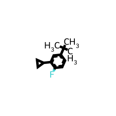 CC(C)(C)c1ccc(F)c(C2CC2)c1